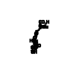 C=CCn1c(=O)c2cnc(Nc3ccc(N4CCN(CCCCC(OCCC(=O)O)C(C)(C)C)CC4)cc3)nc2n1-c1cccc(C(C)(C)O)n1